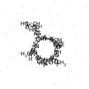 CNC(=O)C[C@@H]1NC(=O)c2csc(n2)-c2ccc(-c3nc(NC(=O)[C@H](C)CCC(=O)O)cs3)nc2-c2csc(n2)-c2csc(n2)[C@H]([C@@H](O)c2ccccc2)NC(=O)CNC(=O)c2nc(sc2COC)C(C(C)C)NC(=O)c2nc1sc2C